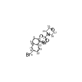 O=C(Oc1ccc2cc(Br)ccc2c1Br)N1CCOCC1